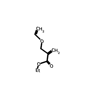 C=COCC(=C)C(=O)OCC